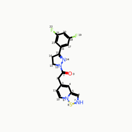 O=C(CC1=CC2=CNSN2C=C1)N1CCC(c2cc(F)cc(F)c2)=N1